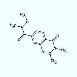 CON(C)C(=O)c1ccc(C(=O)N(C)OC)c(Br)c1